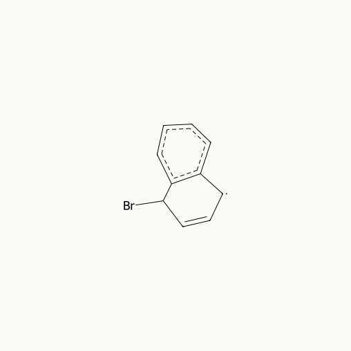 BrC1C=C[CH]c2ccccc21